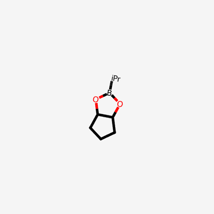 CC(C)B1OC2CCCC2O1